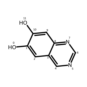 Oc1cc2cncnc2cc1O